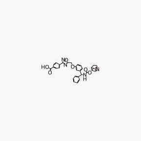 O=C(NC(c1ccccc1)c1cccc(OCc2nc(-c3ccc(C(=O)O)cc3)no2)c1)OC1CN2CCC1CC2